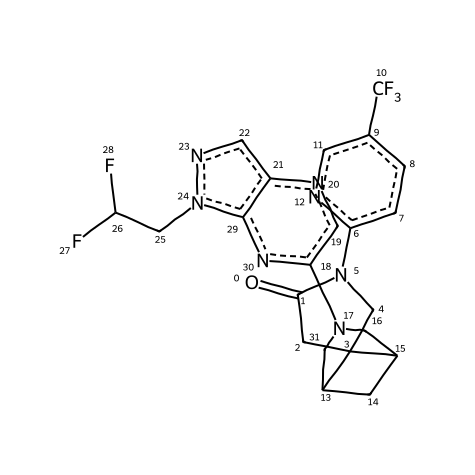 O=C1CC2(CN1c1ccc(C(F)(F)F)cn1)C1CC2CN(c2cnc3cnn(CC(F)F)c3n2)C1